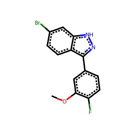 COc1cc(-c2n[nH]c3cc(Br)ccc23)ccc1F